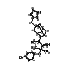 CC(C)(Oc1ccc(Cl)cc1)C(=N)N(C#N)C1C2CC3CC1CC(Cc1nn[nH]n1)(C3)C2